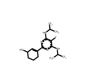 CC(Nc1nc(C2=CC(O)CCC2)nc(NC(C)C(F)(F)F)c1F)C(F)(F)F